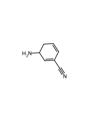 N#CC1=CC(N)CC=C1